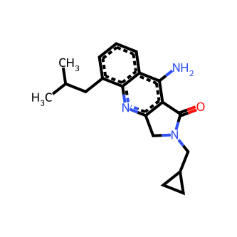 CC(C)Cc1cccc2c(N)c3c(nc12)CN(CC1CC1)C3=O